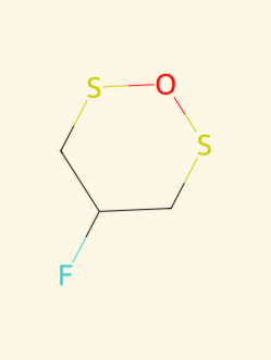 FC1CSOSC1